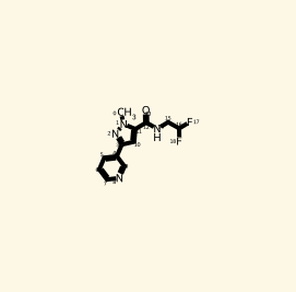 Cn1nc(-c2cccnc2)cc1C(=O)NCC(F)F